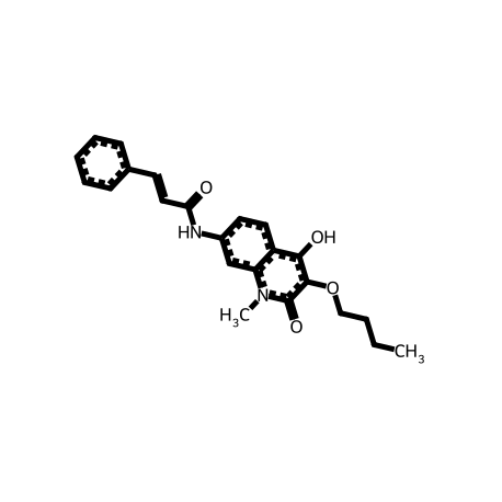 CCCCOc1c(O)c2ccc(NC(=O)C=Cc3ccccc3)cc2n(C)c1=O